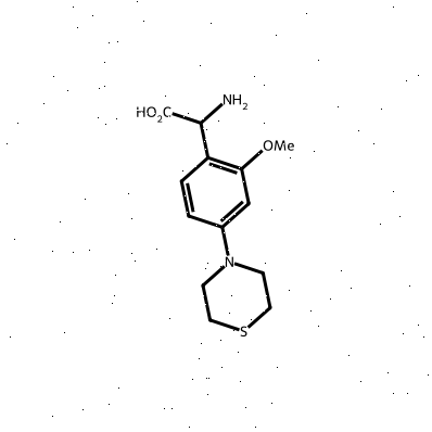 COc1cc(N2CCSCC2)ccc1C(N)C(=O)O